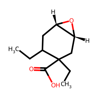 CCC1C[C@@H]2O[C@@H]2CC1(CC)C(=O)O